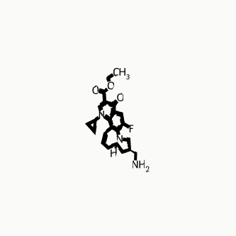 CCOC(=O)c1cn(C2CC2)c2c3c(c(F)cc2c1=O)N1C[C@@H](CN)C[C@@H]1CC=C3